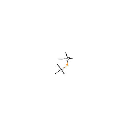 C[Si](C)(C)[P][Si](C)(C)C